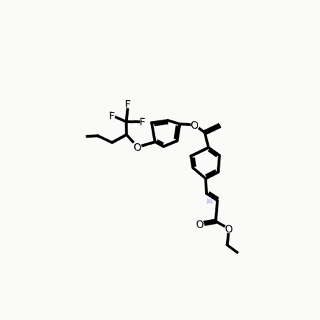 C=C(Oc1ccc(OC(CCC)C(F)(F)F)cc1)c1ccc(/C=C/C(=O)OCC)cc1